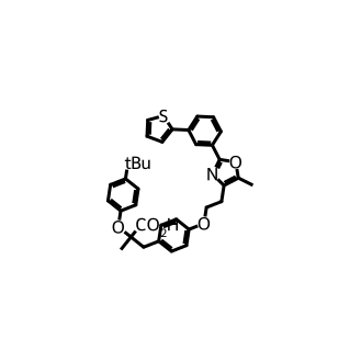 Cc1oc(-c2cccc(-c3cccs3)c2)nc1CCOc1ccc(CC(C)(Oc2ccc(C(C)(C)C)cc2)C(=O)O)cc1